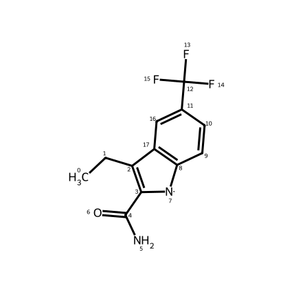 CCC1=C(C(N)=O)[N]c2ccc(C(F)(F)F)cc21